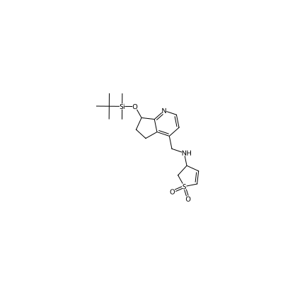 CC(C)(C)[Si](C)(C)OC1CCc2c(CNC3C=CS(=O)(=O)C3)ccnc21